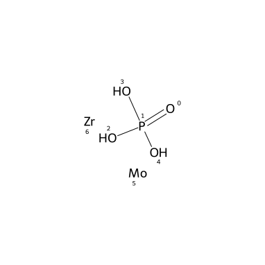 O=P(O)(O)O.[Mo].[Zr]